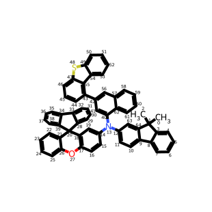 CC1(C)c2ccccc2-c2ccc(N(c3ccc4c(c3)C3(c5ccccc5O4)c4ccccc4-c4ccccc43)c3cc(-c4cccc5sc6ccccc6c45)cc4ccccc34)cc21